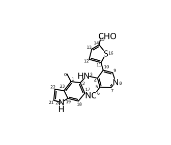 Cc1c(Nc2c(C#N)cncc2-c2ccc(C=O)s2)ccc2[nH]ccc12